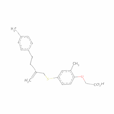 C=C(CCc1ccc(C)cc1)CSc1ccc(OCC(=O)O)c(C)c1